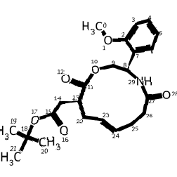 COc1ccccc1[C@@H]1COC(=O)[C@H](CC(=O)OC(C)(C)C)C/C=C/CCC(=O)N1